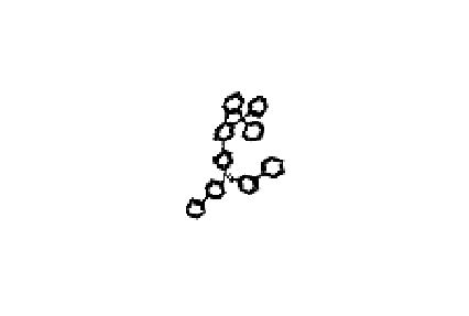 c1ccc(-c2ccc(N(c3ccc(-c4ccc5c(c4)C(c4ccccc4)(c4ccccc4)c4ccccc4-5)cc3)c3cccc(-c4ccccc4)c3)cc2)cc1